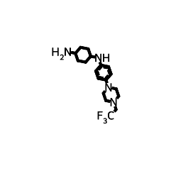 NC1CCC(Nc2ccc(N3CCN(CC(F)(F)F)CC3)cc2)CC1